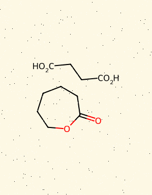 O=C(O)CCC(=O)O.O=C1CCCCCO1